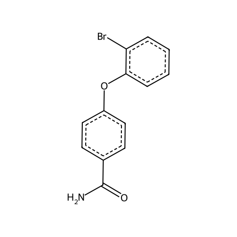 NC(=O)c1ccc(Oc2ccccc2Br)cc1